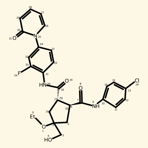 CCOC1(CO)C[C@H](C(=O)Nc2ccc(Cl)cc2)[C@@H](C(=O)Nc2ccc(-n3ccccc3=O)cc2F)C1